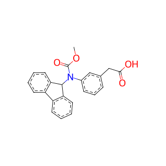 COC(=O)N(c1cccc(CC(=O)O)c1)C1c2ccccc2-c2ccccc21